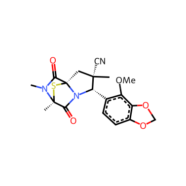 COc1c([C@@H]2N3C(=O)[C@]4(C)S[C@@]3(C[C@]2(C)C#N)C(=O)N4C)ccc2c1OCO2